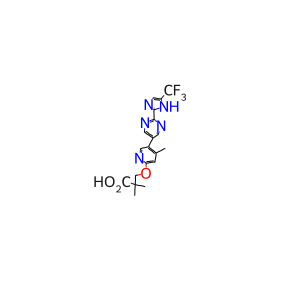 Cc1cc(OCC(C)(C)C(=O)O)ncc1-c1cnc(-c2ncc(C(F)(F)F)[nH]2)nc1